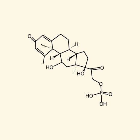 CC1=CC(=O)C=C2CC[C@@H]3[C@H](C(O)C[C@@]4(C)[C@H]3CC[C@]4(O)C(=O)COP(=O)(O)O)[C@@]12C